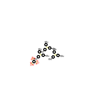 CC(C)(C)c1ccc([S+](c2ccc(C(C)(C)C)cc2)c2ccc(C(C)(C)C)cc2)cc1.CC(C)(C)c1ccc([S+](c2ccc(C(C)(C)C)cc2)c2ccc(C(C)(C)C)cc2)cc1.CC(C)(C)c1ccc([S+](c2ccc(C(C)(C)C)cc2)c2ccc(C(C)(C)C)cc2)cc1.O=S(=O)([O-])c1cc(S(=O)(=O)[O-])cc(S(=O)(=O)[O-])c1